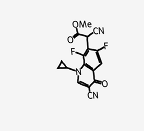 COC(=O)C(C#N)c1c(F)cc2c(=O)c(C#N)cn(C3CC3)c2c1F